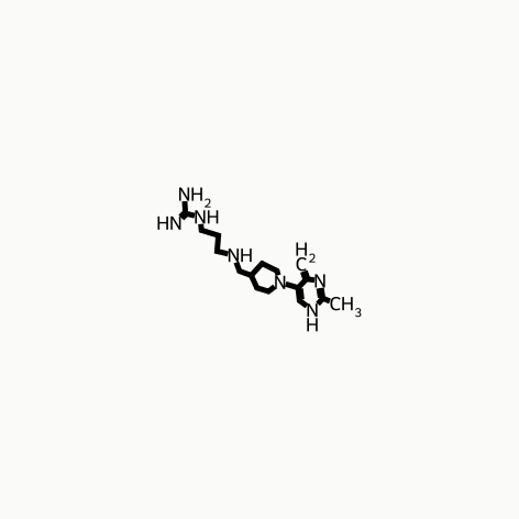 C=C1N=C(C)NC=C1N1CCC(CNCCCNC(=N)N)CC1